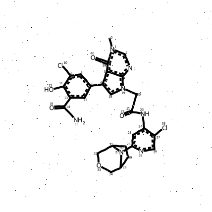 Cn1cnc2c(c(-c3cc(Cl)c(O)c(C(N)=O)c3)cn2CC(=O)Nc2cc(N3C4CCC3COC4)ncc2Cl)c1=O